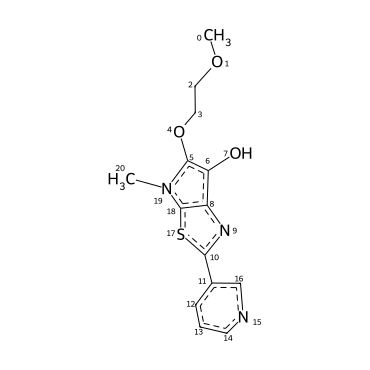 COCCOc1c(O)c2nc(-c3cccnc3)sc2n1C